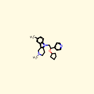 Cc1ccc2c(c1)c1c(n2CC(OC2CCCC2)c2ccncc2)CCN(C)C1